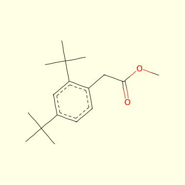 COC(=O)Cc1ccc(C(C)(C)C)cc1C(C)(C)C